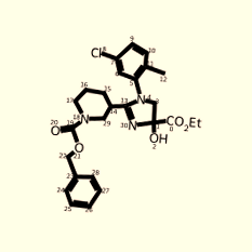 CCOC(=O)C1(O)CN(c2cc(Cl)ccc2C)C(C2CCCN(C(=O)OCc3ccccc3)C2)=N1